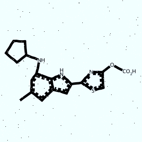 Cc1cc(NC2CCCC2)c2[nH]c(-c3nc(OC(=O)O)cs3)cc2c1